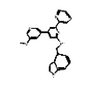 COc1cncc(-c2cc(NCc3cccc4[nH]ccc34)nc(-c3ccccn3)c2)c1